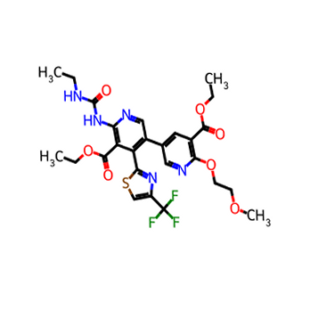 CCNC(=O)Nc1ncc(-c2cnc(OCCOC)c(C(=O)OCC)c2)c(-c2nc(C(F)(F)F)cs2)c1C(=O)OCC